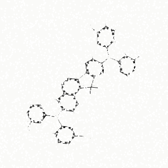 Cc1cccc(N(c2cccc(C)c2)c2ccc3c(c2)C(C)(C)c2c-3ccc3cc(N(c4cccc(C)c4)c4cccc(C)c4)ccc23)c1